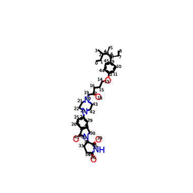 CCC(C)[C@@H](C)[C@@H](CC)c1ccc(OCCCC(=O)CN2CCN(c3ccc4c(c3)CN(C3CCC(=O)NC3=O)C4=O)CC2)cc1